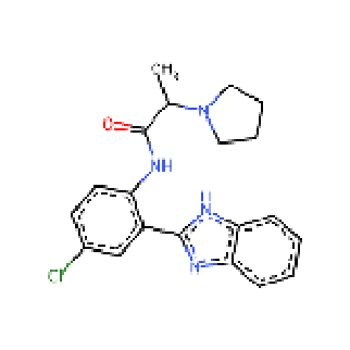 CC(C(=O)Nc1ccc(Cl)cc1-c1nc2ccccc2[nH]1)N1CCCC1